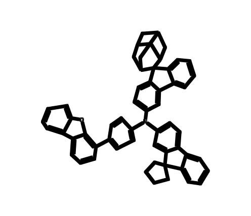 c1ccc2c(c1)-c1ccc(N(c3ccc(-c4cccc5c4oc4ccccc45)cc3)c3ccc4c(c3)-c3ccccc3C43C4CC5CC(C4)CC3C5)cc1C21CCCC1